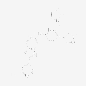 Cc1cc(-c2nc3cc(Nc4ccc(C5CCOC5)c(CN5CCCC5)n4)ncc3s2)ccn1